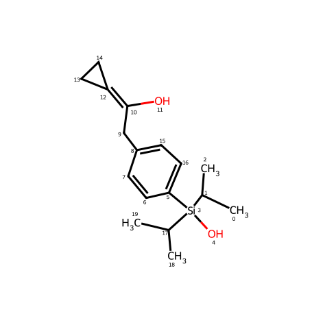 CC(C)[Si](O)(c1ccc(CC(O)=C2CC2)cc1)C(C)C